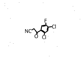 N#CCC(=O)c1cc(F)c(Cl)cc1Cl